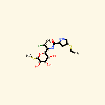 CCS[C@@H]1CNC(C(=O)N[C@@H]([C@H]2O[C@H](SC)[C@H](O)[C@@H](O)[C@H]2O)[C@H](C)Cl)C1